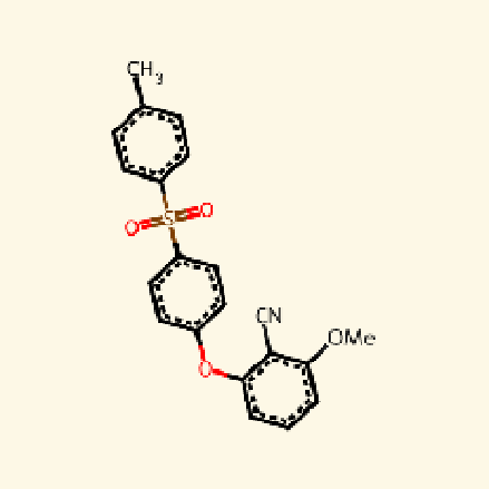 COc1cccc(Oc2ccc(S(=O)(=O)c3ccc(C)cc3)cc2)c1C#N